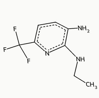 CCNc1nc(C(F)(F)F)ccc1N